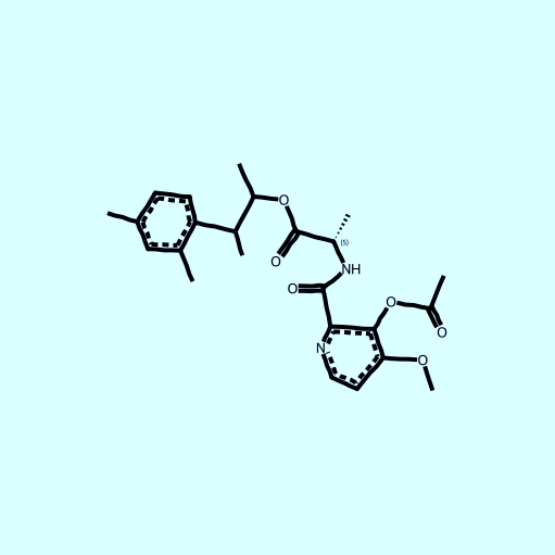 COc1ccnc(C(=O)N[C@@H](C)C(=O)OC(C)C(C)c2ccc(C)cc2C)c1OC(C)=O